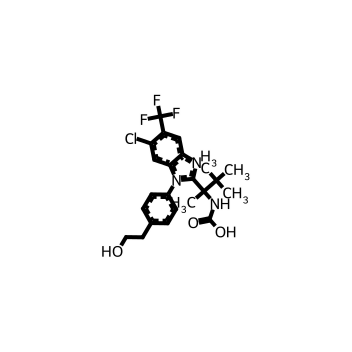 CC(C)(C)C(C)(NC(=O)O)c1nc2cc(C(F)(F)F)c(Cl)cc2n1-c1ccc(CCO)cc1